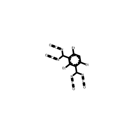 CCc1cc(CC)c(C(N=C=O)N=C=O)c(CC)c1C(N=C=O)N=C=O